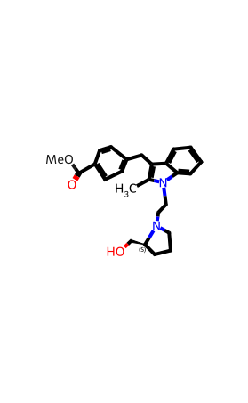 COC(=O)c1ccc(Cc2c(C)n(CCN3CCC[C@H]3CO)c3ccccc23)cc1